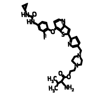 CC(C)C(N)C(=O)OCCN1CCN(Cc2ccc(-c3cc4nccc(Oc5ccc(NC(=O)NC6CC6)cc5F)c4s3)nc2)CC1